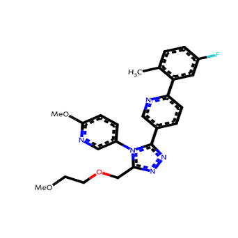 COCCOCc1nnc(-c2ccc(-c3cc(F)ccc3C)nc2)n1-c1ccc(OC)nc1